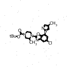 Cc1cnn(-c2cc(Cl)cc3nc(N4CCN(C(=O)OC(C)(C)C)CC4C)oc23)c1